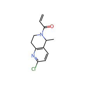 C=CC(=O)N1CCc2nc(Cl)ccc2C1C